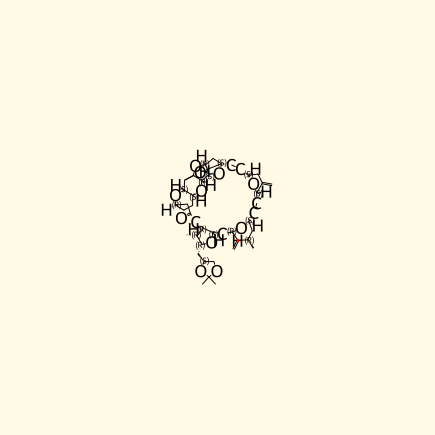 C=C1C[C@@H]2CC[C@@]34C[C@H]5OC6C(O3)[C@H]3O[C@H](CC[C@@H]3O[C@H]6[C@H]5O4)CC(=O)C[C@@H]3[C@@H](C)[C@@H](C[C@H]4COC(C)(C)O4)O[C@H]3C[C@H]3O[C@@H](CC[C@@H]1O2)C[C@@H](C)C3=C